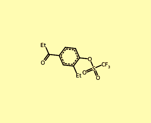 CCC(=O)c1ccc(OS(=O)(=O)C(F)(F)F)c(CC)c1